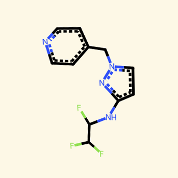 FC(F)C(F)Nc1ccn(Cc2ccncc2)n1